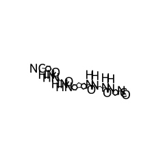 N#Cc1cccc(NC(=O)NCCCNC(=O)Nc2ccc3c(c2)Cc2cc(NC(=O)NCCCNC(=O)Nc4cccc(N=C=O)c4)ccc2-3)c1